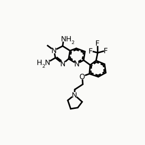 CN1C(N)=Nc2nc(-c3c(OCCN4CCCC4)cccc3C(F)(F)F)ccc2C1N